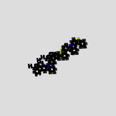 CC1(C)c2ccccc2-c2cc3c4cccc5c6cc7c(cc6n(c3cc21)c45)C(C)(C)c1ccc(-c2cccc3c2sc2ccc4c(c5cccc6c8c9c(ccc8n4c65)sc4ccccc49)c23)cc1-7